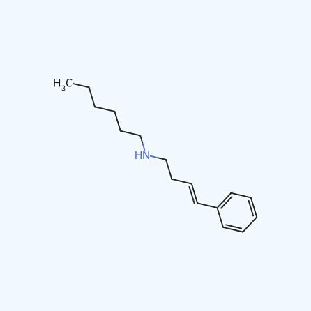 CCCCCCNCCC=Cc1ccccc1